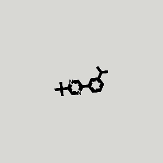 CC(C)c1cccc(-c2cnc(C(C)(C)C)cn2)c1